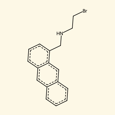 BrCCNCc1cccc2cc3ccccc3cc12